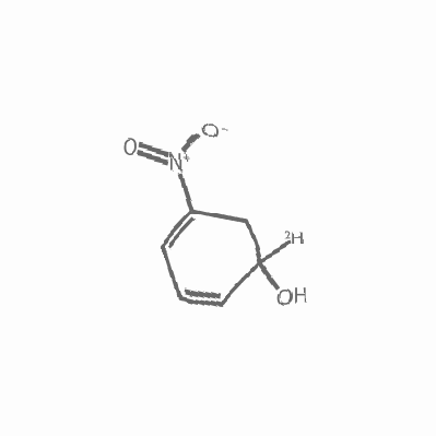 [2H]C1(O)C=CC=C([N+](=O)[O-])C1